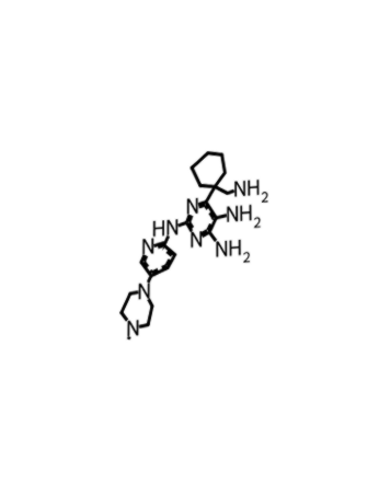 CN1CCN(c2ccc(Nc3nc(N)c(N)c(C4(CN)CCCCC4)n3)nc2)CC1